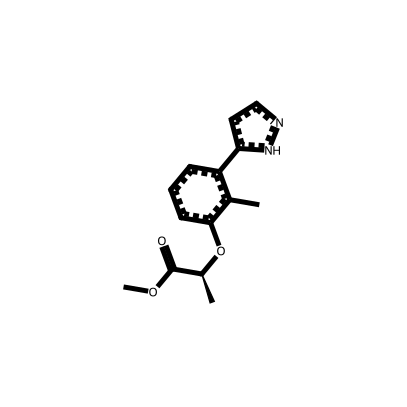 COC(=O)[C@H](C)Oc1cccc(-c2ccn[nH]2)c1C